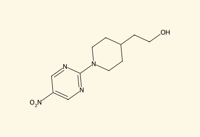 O=[N+]([O-])c1cnc(N2CCC(CCO)CC2)nc1